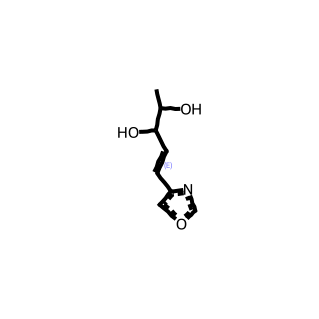 CC(O)C(O)/C=C/c1cocn1